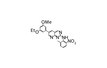 CCOc1cc(OC)cc(-c2cnc3nc(Nc4c(C)cccc4[N+](=O)[O-])ncc3c2)c1